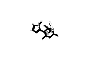 CC1CC2(C)CCN1[C@H](C)N2c1cccn1C